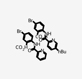 CCCCc1ccc(C(=O)Nc2ccc(Br)cc2C(=O)O)nc1.O=C(Nc1ccc(Br)cc1C(=O)O)c1ccccn1